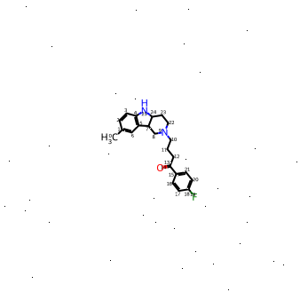 Cc1ccc2c(c1)C1CN(CCCC(=O)c3ccc(F)cc3)CCC1N2